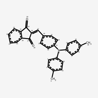 Cc1ccc(N(c2ccc(C)cc2)c2ccc(C=C3C(=O)c4ccccc4C3=O)cc2)cc1